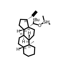 C#C[C@H]1CC[C@H]2[C@@H]3CC[C@H]4CCCC[C@]4(C)[C@H]3CC[C@]12C(O[SiH](C)C)C(C)(C)C